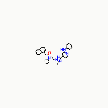 Cc1nc(-c2ccnc(Nc3ccccc3)c2)nn1CCN(C(=O)Cc1cccc2ccccc12)C1CCCC1